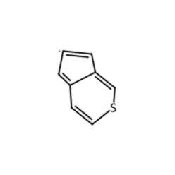 [c]1cc2ccscc-2c1